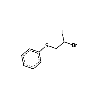 BrC(I)CSc1ccccc1